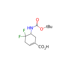 CC(C)(C)OC(=O)NC1CC(C(=O)O)=CCC1(F)F